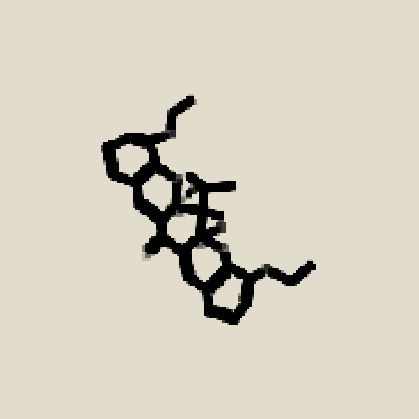 CCOc1cccc2c1O[C@@H]1C(=C2)C(=O)C2=Cc3cccc(OCC)c3O[C@H]2C1(C)C(C)C